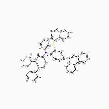 c1ccc(-c2ccc(N(c3ccc(-c4cc5ccccc5c5ccccc45)cc3)c3cccc4c3sc3c5ccccc5ccc43)cc2-c2ccccc2)cc1